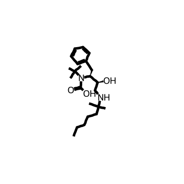 CCCCCC(C)(C)NC[C@H](O)[C@H](Cc1ccccc1)N(C(=O)O)C(C)(C)C